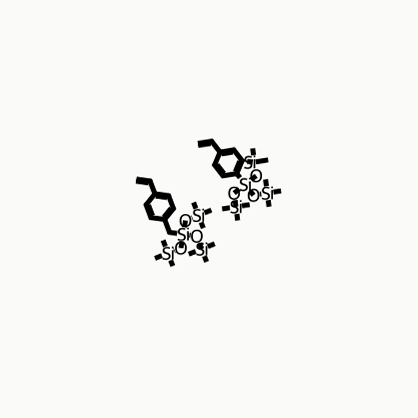 C=Cc1ccc(C[Si](O[Si](C)(C)C)(O[Si](C)(C)C)O[Si](C)(C)C)cc1.C=Cc1ccc([Si](O[Si](C)(C)C)(O[Si](C)(C)C)O[Si](C)(C)C)cc1